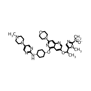 C=[N+]([O-])c1ncc(C(C)Oc2cnc3cc(N4CCOCC4)nc(O[C@H]4CC[C@@H](Nc5ncc(N6CCN(C)CC6)cn5)CC4)c3c2)n1C